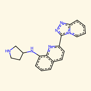 c1cc(NC2CCNC2)c2nc(-c3nnc4ccccn34)ccc2c1